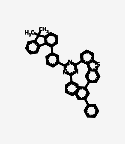 CC1(C)c2ccccc2-c2c(-c3cccc(-c4nc(-c5ccccc5)nc(-c5cccc6sc7ccc(-c8cccc(-c9ccccc9)c8)cc7c56)n4)c3)cccc21